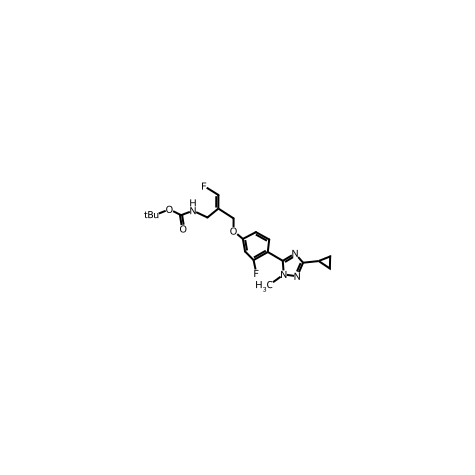 Cn1nc(C2CC2)nc1-c1ccc(OC/C(=C/F)CNC(=O)OC(C)(C)C)cc1F